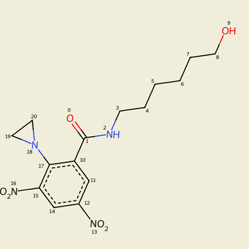 O=C(NCCCCCCO)c1cc([N+](=O)[O-])cc([N+](=O)[O-])c1N1CC1